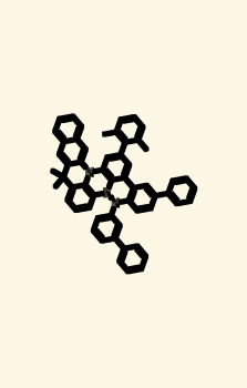 Cc1cccc(C)c1-c1cc2c3c(c1)N1c4cc5ccccc5cc4C(C)(C)c4cccc(c41)B3N(c1cccc(-c3ccccc3)c1)c1ccc(-c3ccccc3)cc1-2